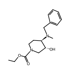 CCOC(=O)N1CC[C@@H](N(C)Cc2ccccc2)[C@H](O)C1